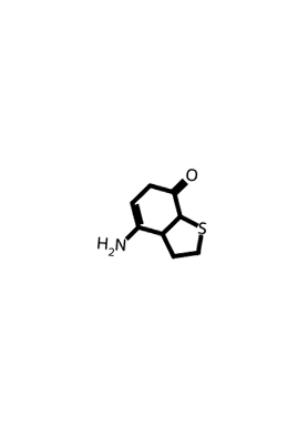 NC1=CCC(=O)C2SCCC12